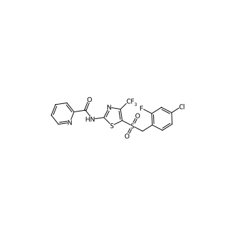 O=C(Nc1nc(C(F)(F)F)c(S(=O)(=O)Cc2ccc(Cl)cc2F)s1)c1ccccn1